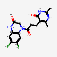 Cc1nc(C)c(CCC(=O)N2CC(=O)Nc3cc(F)c(F)cc32)c(=O)[nH]1